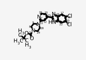 CC(C)(C)OC(=O)N1CCN(c2cc(-c3nc4cc(Cl)c(Cl)cc4[nH]3)ccn2)CC1